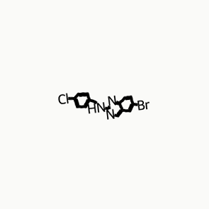 Clc1ccc(CNc2ncc3cc(Br)ccc3n2)cc1